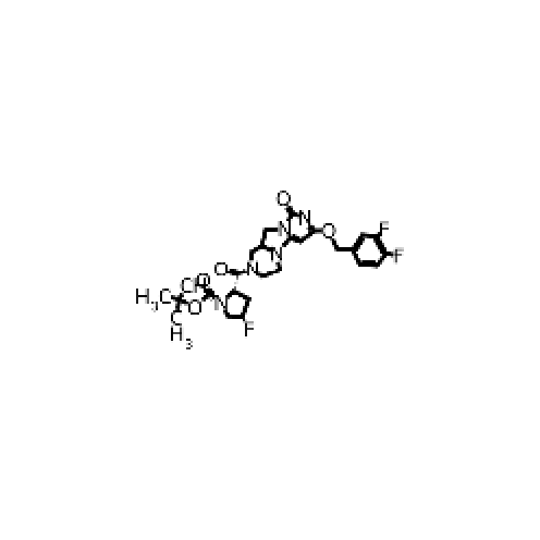 CC(C)(C)OC(=O)N1C[C@@H](F)C[C@H]1C(=O)N1CCN2c3cc(OCc4ccc(F)c(F)c4)nc(=O)n3CC2C1